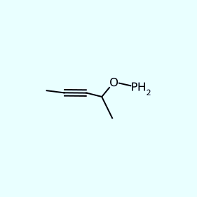 CC#CC(C)OP